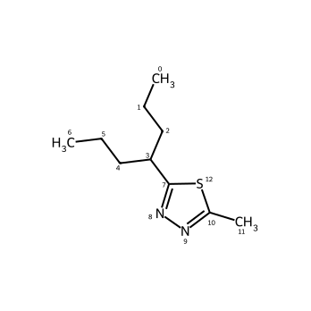 CCCC(CCC)c1nnc(C)s1